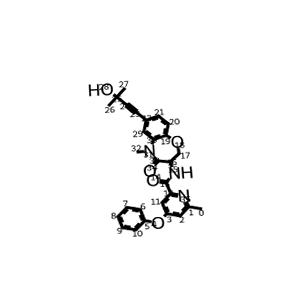 Cc1cc(Oc2ccccc2)cc(C(=O)NC2COc3ccc(C#CC(C)(C)O)cc3N(C)C2=O)n1